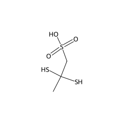 CC(S)(S)CS(=O)(=O)O